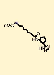 CCCCCCCC/C=C\CCCCCCCC(=O)Nc1cccc(-c2ncn[nH]2)c1